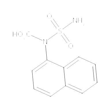 NS(=O)(=O)N(C(=O)O)c1cccc2ccccc12